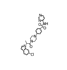 CC(C(=O)N1CCN(c2ccc(S(=O)(=O)Nc3ccncn3)cc2)CC1)n1ccc2ccc(Cl)cc21